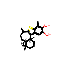 Cc1c(O)c(O)cc2c3c(sc12)C(C)CC[C@@H]1C(C)(C)CCC[C@@]31C